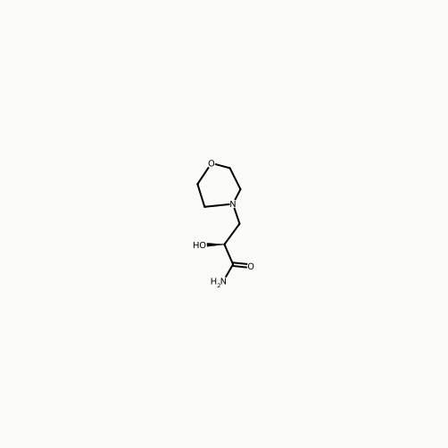 NC(=O)[C@@H](O)CN1CCOCC1